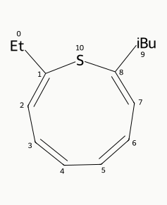 CCc1ccccccc(C(C)CC)s1